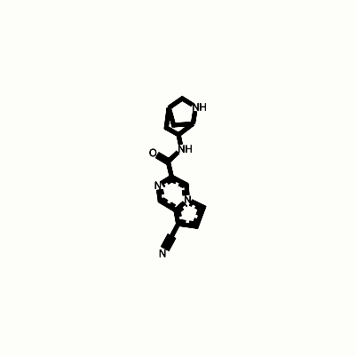 N#Cc1ccn2cc(C(=O)NC3CC4CNC3C4)ncc12